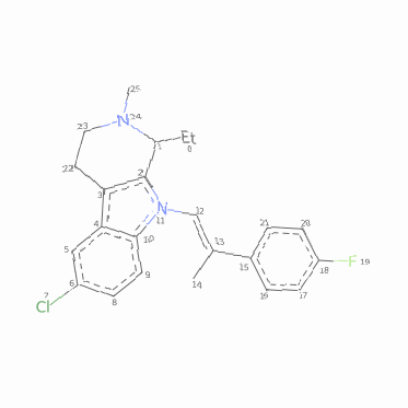 CCC1c2c(c3cc(Cl)ccc3n2/C=C(\C)c2ccc(F)cc2)CCN1C